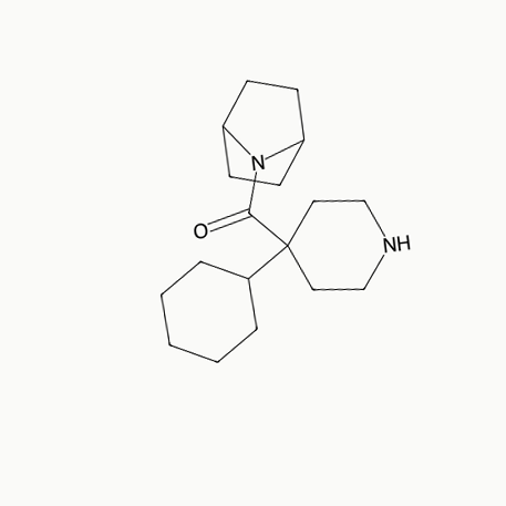 O=C(N1C2CCC1CC2)C1(C2CCCCC2)CCNCC1